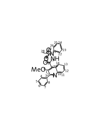 COc1c(-c2ccccc2)nc2ccccc2c1C(=O)NN(c1ccccc1)S(C)(=O)=O